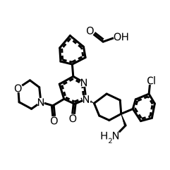 NC[C@]1(c2cccc(Cl)c2)CC[C@@H](n2nc(-c3ccccc3)cc(C(=O)N3CCOCC3)c2=O)CC1.O=CO